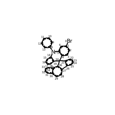 Brc1ccc2c(c1)N(c1ccccc1)c1ccccc1C21c2ccccc2-c2ccc3ccccc3c21